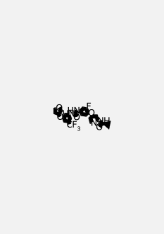 O=C(Nc1cc(OC2CCOC2)cc(C(F)(F)F)c1)Nc1ccc(Oc2ccnc(NC(=O)C3CC3)c2)c(F)c1